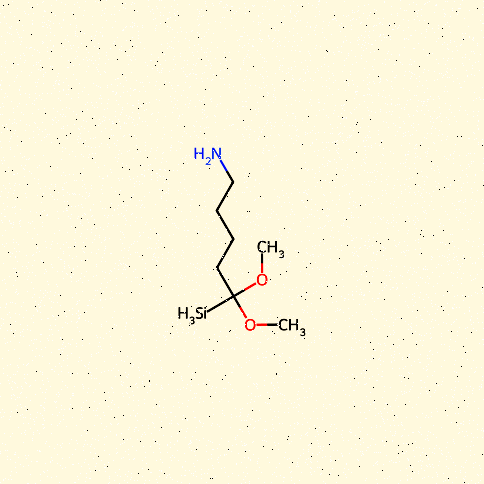 COC([SiH3])(CCCCN)OC